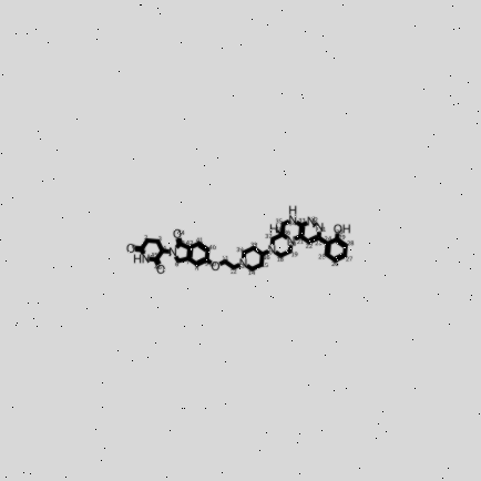 O=C1CCC(N2Cc3cc(OCCN4CCC(N5CCN6c7cc(-c8ccccc8O)nnc7NC[C@H]6C5)CC4)ccc3C2=O)C(=O)N1